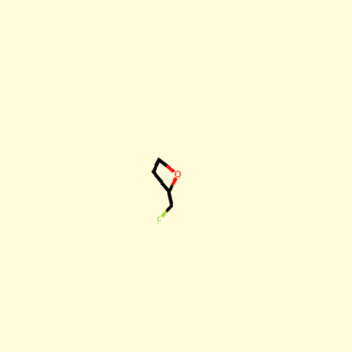 FCC1CCO1